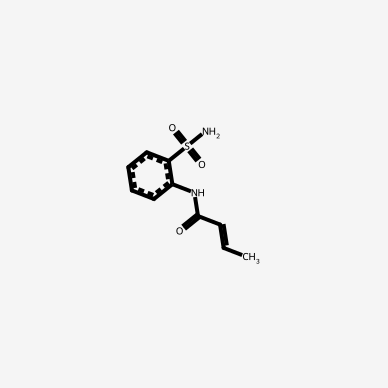 C/C=C/C(=O)Nc1ccccc1S(N)(=O)=O